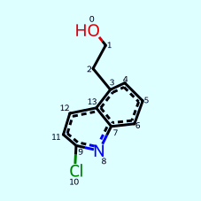 OCCc1cccc2nc(Cl)ccc12